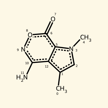 Cc1cn(C)c2c(=O)onc(N)c12